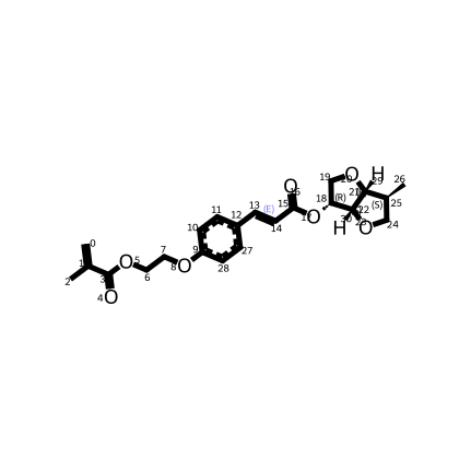 C=C(C)C(=O)OCCOc1ccc(/C=C/C(=O)O[C@@H]2CO[C@H]3[C@@H]2OC[C@@H]3C)cc1